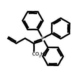 C=CCC(C(=O)O)=P(c1ccccc1)(c1ccccc1)c1ccccc1